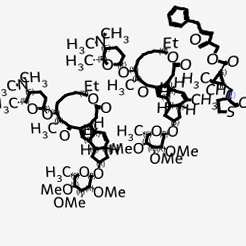 CC1(C)[C@H](/C=C2\CCSC2=O)[C@@H]1C(=O)OCc1coc(Cc2ccccc2)c1.CC[C@H]1CCC[C@H](O[C@H]2CC[C@H](N(C)C)[C@@H](C)O2)[C@@H](C)C(=O)C2=C[C@@H]3[C@@H](C=C(C)[C@@H]4C[C@@H](O[C@@H]5O[C@@H](C)[C@H](OC)[C@@H](OC)[C@H]5OC)C[C@@H]34)[C@@H]2CC(=O)O1.CC[C@H]1CCC[C@H](O[C@H]2CC[C@H](N(C)C)[C@@H](C)O2)[C@@H](C)C(=O)C2=C[C@@H]3[C@@H](C=C[C@@H]4C[C@@H](O[C@@H]5O[C@@H](C)[C@H](OC)[C@@H](OC)[C@H]5OC)C[C@@H]34)[C@@H]2CC(=O)O1